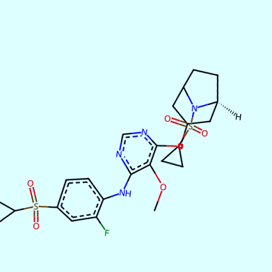 COc1c(Nc2ccc(S(=O)(=O)C3CC3)cc2F)ncnc1OC1CC2CC[C@@H](C1)N2S(=O)(=O)C1CC1